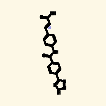 O=C(O)/C=C/c1ccc(NC(=O)c2ccc(-c3nn[nH]n3)cc2)cc1